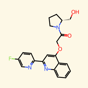 O=C(COc1cc(-c2ccc(F)cn2)nc2ccccc12)N1CCC[C@@H]1CO